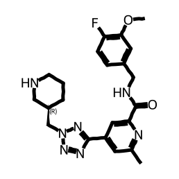 COc1cc(CNC(=O)c2cc(-c3nnn(C[C@@H]4CCCNC4)n3)cc(C)n2)ccc1F